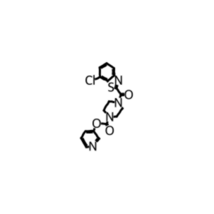 O=C(Oc1cccnc1)N1CCN(C(=O)c2nc3cccc(Cl)c3s2)CC1